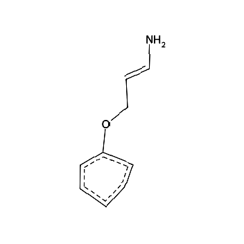 NC=CCOc1ccccc1